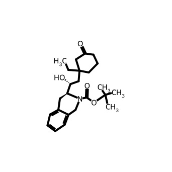 CCC1(C[C@@H](O)[C@@H]2Cc3ccccc3CN2C(=O)OC(C)(C)C)CCCC(=O)C1